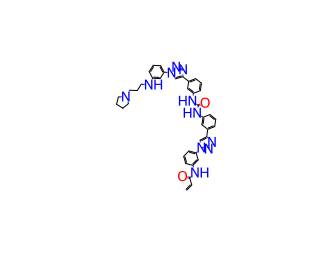 C=CC(=O)Nc1cccc(-n2cc(-c3cccc(NC(=O)Nc4cccc(-c5cn(-c6cccc(NCCCN7CCCC7)c6)nn5)c4)c3)nn2)c1